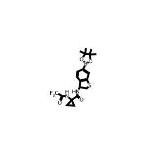 CC1(C)OB(c2ccc3c(c2)SCC3NC(=O)C2(NC(=O)C(F)(F)F)CC2)OC1(C)C